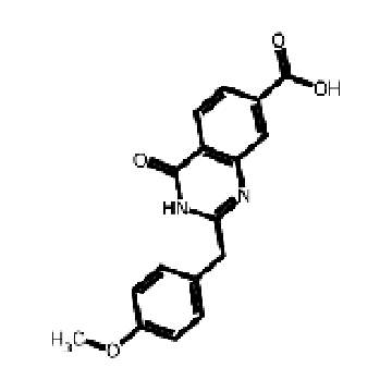 COc1ccc(Cc2nc3cc(C(=O)O)ccc3c(=O)[nH]2)cc1